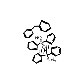 NC(N)(c1ccccc1)c1ccccc1.O[Si](O)(c1ccccc1)c1ccccc1.c1ccc(Cc2ccccc2)cc1